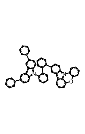 c1ccc(-c2ccc3c(c2)c2cc(-c4ccccc4)ccc2n3-c2ccccc2-c2ccccc2-c2ccc3c(c2)c2cccc4c2n3-c2ccccc2O4)cc1